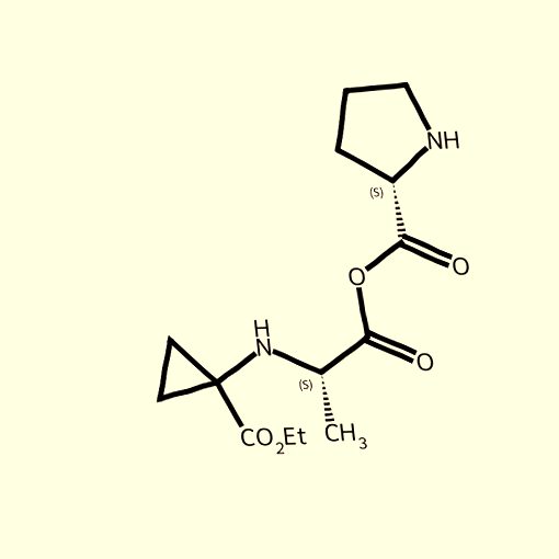 CCOC(=O)C1(N[C@@H](C)C(=O)OC(=O)[C@@H]2CCCN2)CC1